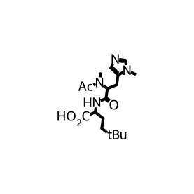 CC(=O)N(C)C(Cc1cncn1C)C(=O)NC(CCC(C)(C)C)C(=O)O